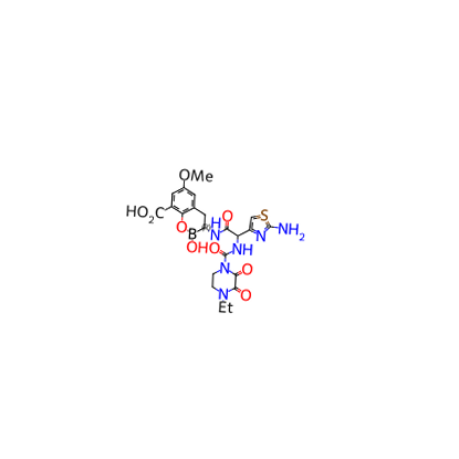 CCN1CCN(C(=O)NC(C(=O)N[C@H]2Cc3cc(OC)cc(C(=O)O)c3OB2O)c2csc(N)n2)C(=O)C1=O